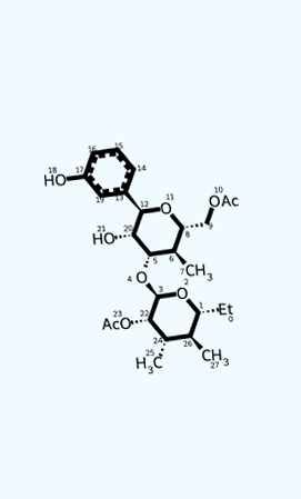 CC[C@H]1O[C@H](O[C@H]2[C@H](C)[C@@H](COC(C)=O)O[C@H](c3cccc(O)c3)[C@H]2O)[C@@H](OC(C)=O)[C@@H](C)[C@@H]1C